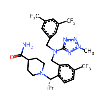 CC(C)[C@@H](c1ccc(C(F)(F)F)cc1CN(Cc1cc(C(F)(F)F)cc(C(F)(F)F)c1)c1nnn(C)n1)N1CCC(C(N)=O)CC1